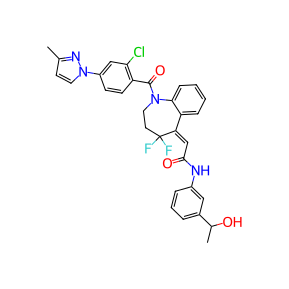 Cc1ccn(-c2ccc(C(=O)N3CCC(F)(F)C(=CC(=O)Nc4cccc(C(C)O)c4)c4ccccc43)c(Cl)c2)n1